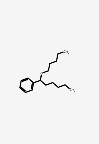 CCCCCOC(CCCCC)c1ccccc1